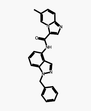 Cc1ccc2ncc(C(=O)Nc3cccc4c3cnn4Cc3ccccc3)n2c1